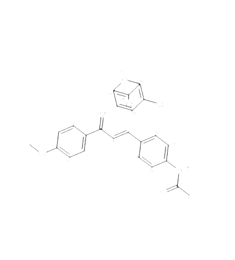 COc1ccc(C(=O)C=Cc2ccc(OC(C)=O)cc2)cc1.Clc1ccc2c(Cl)c1O2